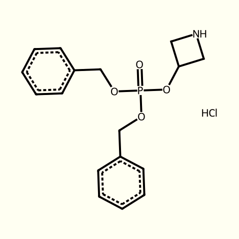 Cl.O=P(OCc1ccccc1)(OCc1ccccc1)OC1CNC1